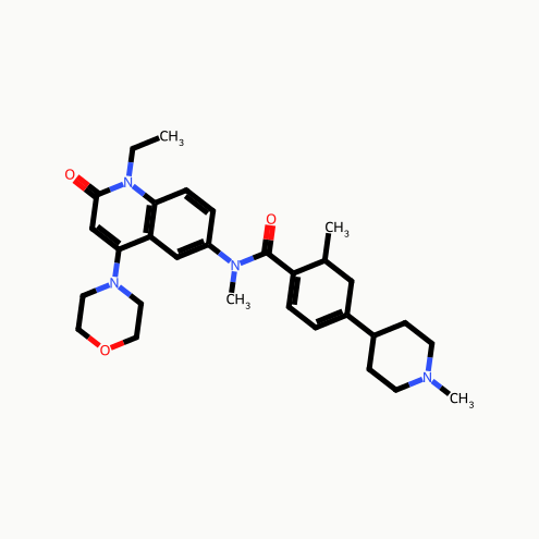 CCn1c(=O)cc(N2CCOCC2)c2cc(N(C)C(=O)C3=CC=C(C4CCN(C)CC4)CC3C)ccc21